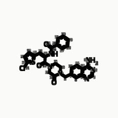 Nc1ncnc2cc(CN3CCN(C(=O)C(=Cc4ccc(Cl)s4)NC(=O)c4ccccc4)CC3=O)ccc12